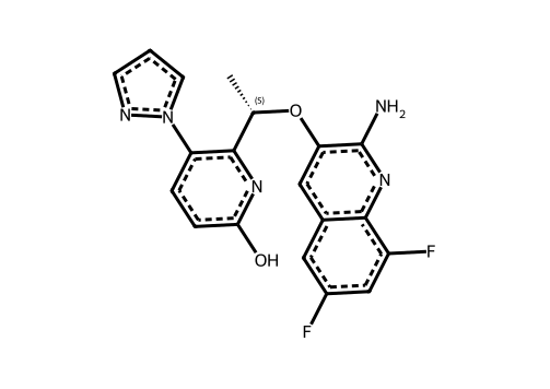 C[C@H](Oc1cc2cc(F)cc(F)c2nc1N)c1nc(O)ccc1-n1cccn1